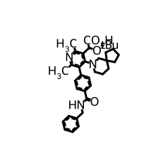 Cc1nc(C)c(C(OC(C)(C)C)C(=O)O)c(N2CCCC3(CCCC3)C2)c1-c1ccc(C(=O)NCc2ccccc2)cc1